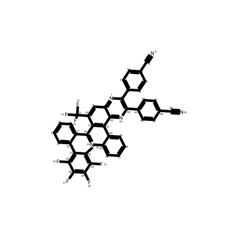 N#Cc1ccc(-c2nc3cc(C(F)(F)F)c4c(-c5ccccc5-c5c(F)c(F)c(F)c(F)c5F)nc5ccccc5c4c3nc2-c2ccc(C#N)cc2)cc1